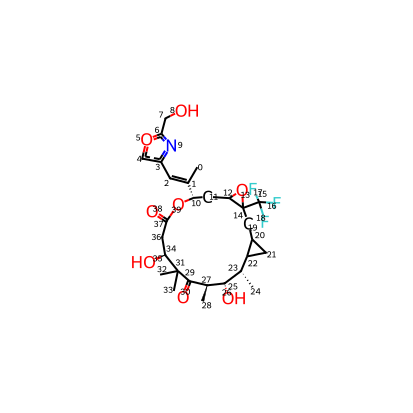 C/C(=C\c1coc(CO)n1)[C@@H]1CC2OC2(C(F)(F)F)CC2CC2[C@H](C)[C@H](O)[C@@H](C)C(=O)C(C)(C)[C@@H](O)CC(=O)O1